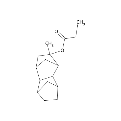 CCC(=O)OC1(C)CC2CC1C1C3CCC(C3)C21